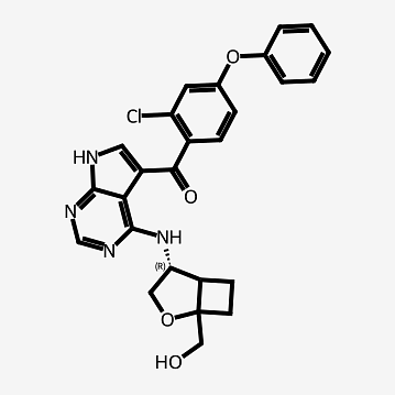 O=C(c1ccc(Oc2ccccc2)cc1Cl)c1c[nH]c2ncnc(N[C@H]3COC4(CO)CCC34)c12